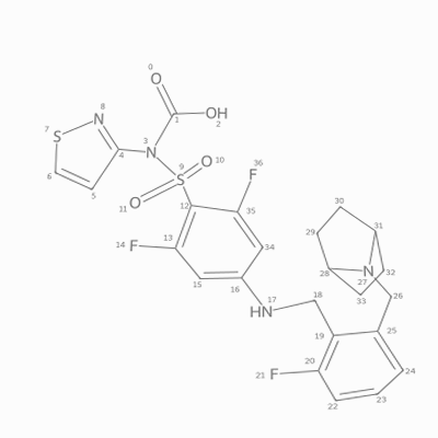 O=C(O)N(c1ccsn1)S(=O)(=O)c1c(F)cc(NCc2c(F)cccc2CN2C3CCC2CC3)cc1F